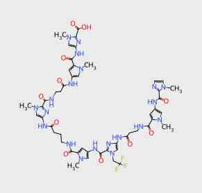 Cn1cc(NC(=O)c2nc(NC(=O)CCNC(=O)c3cc(NC(=O)c4nccn4C)cn3C)cn2CC(F)(F)F)cc1C(=O)NCCCC(=O)Nc1cn(C)c(C(=O)NCCC(=O)Nc2cc(C(=O)Nc3cn(C)c(C(=O)O)n3)n(C)c2)n1